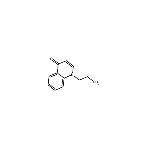 [CH2]CCn1ccc(=O)c2ccccc21